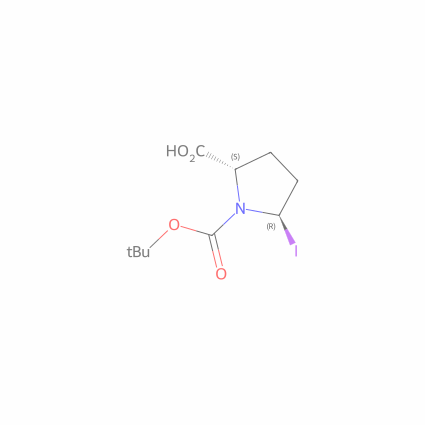 CC(C)(C)OC(=O)N1[C@H](I)CC[C@H]1C(=O)O